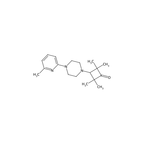 Cc1cccc(N2CCN(C3C(C)(C)C(=O)C3(C)C)CC2)n1